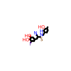 Cc1ccc(CNC(=S)/C(C#N)=C/c2cc(O)c(O)c(I)c2)cc1O